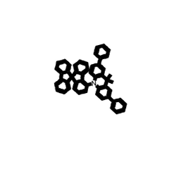 CC1(C)c2cc(-c3ccccc3)ccc2N(c2cccc3c2-c2ccccc2C32c3ccccc3-c3ccccc32)c2ccc(-c3ccccc3)cc21